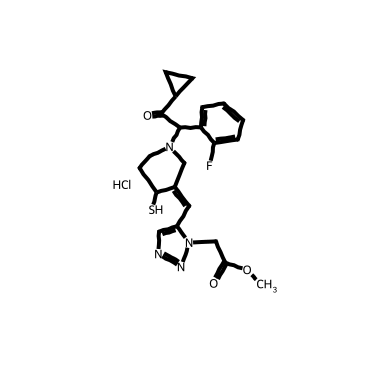 COC(=O)Cn1nncc1C=C1CN(C(C(=O)C2CC2)c2ccccc2F)CCC1S.Cl